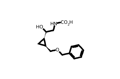 O=C(O)NCC(O)[C@H]1C[C@@H]1COCc1ccccc1